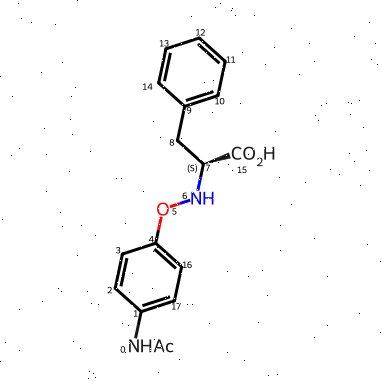 CC(=O)Nc1ccc(ON[C@@H](Cc2ccccc2)C(=O)O)cc1